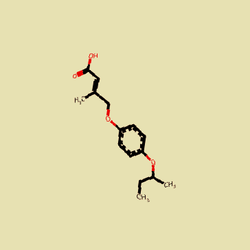 CCC(C)Oc1ccc(OC/C(C)=C/C(=O)O)cc1